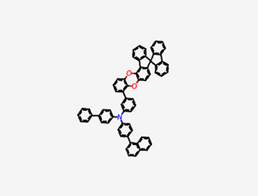 c1ccc(-c2ccc(N(c3ccc(-c4cccc5ccccc45)cc3)c3cccc(-c4cccc5c4Oc4ccc6c(c4O5)-c4ccccc4C64c5ccccc5-c5ccccc54)c3)cc2)cc1